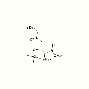 CCCCCCCCCCCC(=O)C[C@@H](O[Si](C)(C)C)C(CCCCCC)C(=O)OC